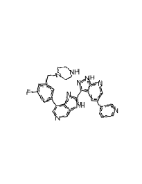 Fc1cc(CN2CCNCC2)cc(-c2cncc3[nH]c(-c4n[nH]c5ncc(-c6cccnc6)cc45)nc23)c1